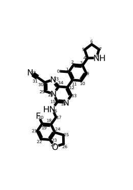 Cc1cc(C2CCCN2)ccc1-c1cnc(NCc2c(F)ccc3c2CCO3)n2cc(C#N)nc12